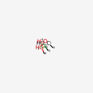 CC(=O)O.CCl.CO.O